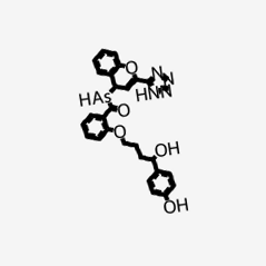 O=C([AsH]C1C=C(c2nnn[nH]2)Oc2ccccc21)c1ccccc1OCCCC(O)c1ccc(O)cc1